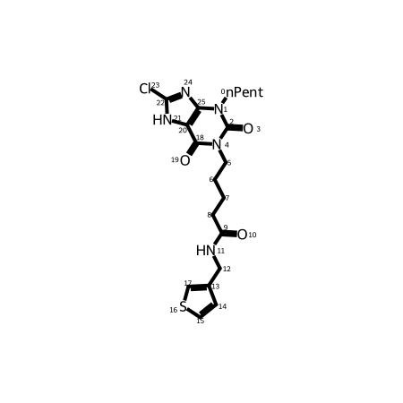 CCCCCn1c(=O)n(CCCCC(=O)NCc2ccsc2)c(=O)c2[nH]c(Cl)nc21